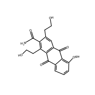 COc1cccc2c1C(=O)c1cc(CCO)c(C(N)=O)c(CCO)c1C2=O